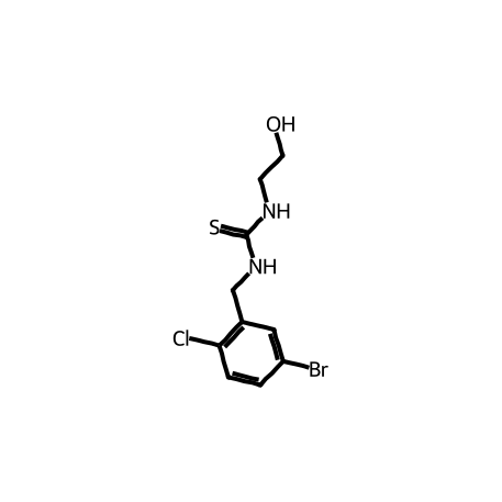 OCCNC(=S)NCc1cc(Br)ccc1Cl